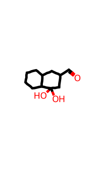 O=CC1CC2CCCCC2C(O)(O)C1